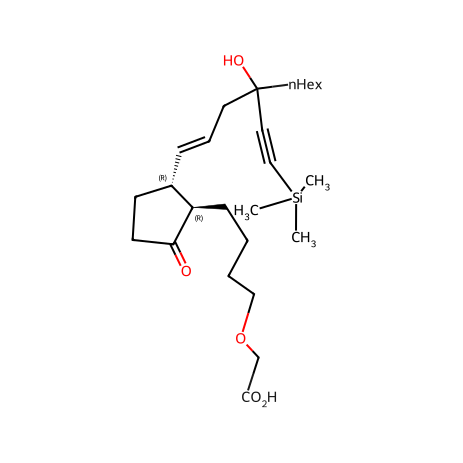 CCCCCCC(O)(C#C[Si](C)(C)C)CC=C[C@H]1CCC(=O)[C@@H]1CCCCOCC(=O)O